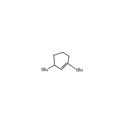 CC(C)(C)C1=CC(C(C)(C)C)CCC1